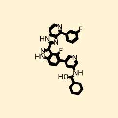 OC(Nc1cncc(-c2ccc3[nH]nc(-c4nc5c(-c6cccc(F)c6)nccc5[nH]4)c3c2F)c1)C1CCCCC1